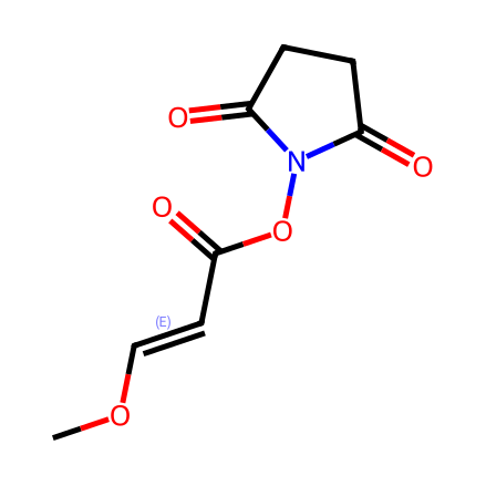 CO/C=C/C(=O)ON1C(=O)CCC1=O